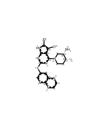 CCc1[nH]c2nc(Sc3cnc4nccnc4c3)nc(N3CC[C@@H](C)[C@@H](N)C3)c2c1Cl